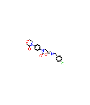 O=C1COCCN1c1ccc(N2C[C@H](CN=Cc3ccc(Cl)cc3)OC2=O)cc1